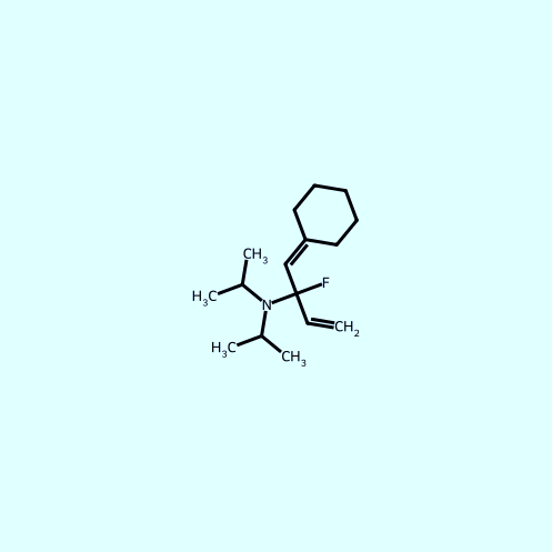 C=CC(F)(C=C1CCCCC1)N(C(C)C)C(C)C